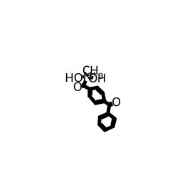 C[N+](O)(O)C(=O)c1ccc(C(=O)c2ccccc2)cc1